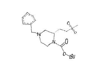 CC(C)(C)OC(=O)N1CCN(Cc2ccccc2)C[C@@H]1CCS(C)(=O)=O